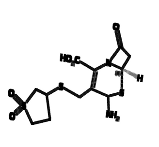 NC1S[C@@H]2CC(=O)N2C(C(=O)O)=C1CSC1CCS(=O)(=O)C1